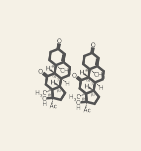 CC(=O)[C@@]1(O)CC[C@H]2[C@@H]3CCC4=CC(=O)CC[C@]4(C)[C@H]3C(=O)C[C@@]21C.CC(=O)[C@@]1(O)CC[C@H]2[C@@H]3CCC4=CC(=O)CC[C@]4(C)[C@H]3C(=O)C[C@@]21C